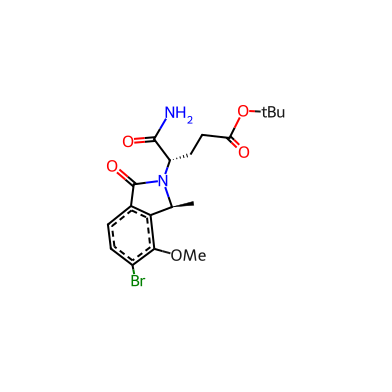 COc1c(Br)ccc2c1[C@H](C)N([C@@H](CCC(=O)OC(C)(C)C)C(N)=O)C2=O